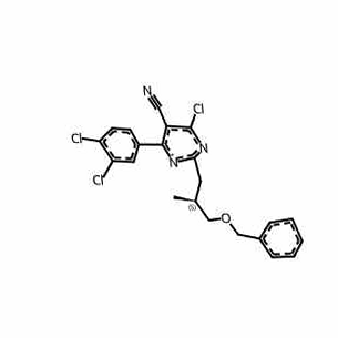 C[C@H](COCc1ccccc1)Cc1nc(Cl)c(C#N)c(-c2ccc(Cl)c(Cl)c2)n1